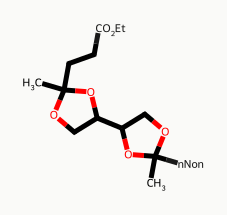 CCCCCCCCCC1(C)OCC(C2COC(C)(CCC(=O)OCC)O2)O1